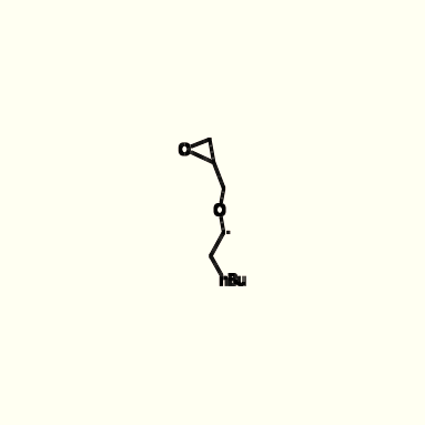 CCCCC[CH]OCC1CO1